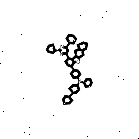 c1ccc(-c2ccc(N(c3ccccc3)c3ccc(-c4ccc(-c5cc(-c6ccccc6)nc(-c6ccccc6)n5)c5c4oc4cc6ccccc6cc45)cc3)cc2)cc1